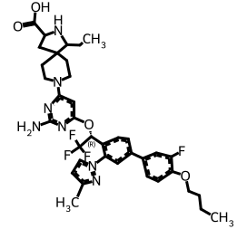 CCCCOc1ccc(-c2ccc([C@@H](Oc3cc(N4CCC5(CC4)CC(C(=O)O)NC5CC)nc(N)n3)C(F)(F)F)c(-n3ccc(C)n3)c2)cc1F